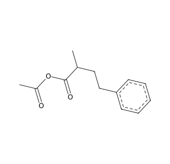 CC(=O)OC(=O)C(C)CCc1ccccc1